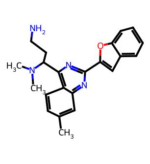 Cc1ccc2c(C(CCN)N(C)C)nc(-c3cc4ccccc4o3)nc2c1